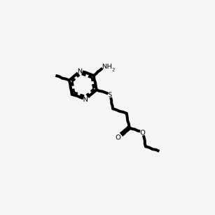 CCOC(=O)CCSc1ncc(C)nc1N